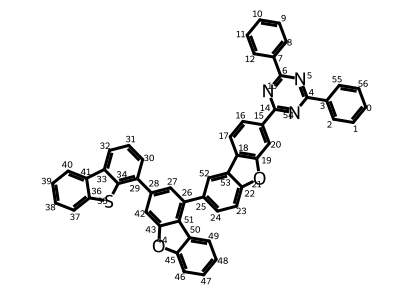 c1ccc(-c2nc(-c3ccccc3)nc(-c3ccc4c(c3)oc3ccc(-c5cc(-c6cccc7c6sc6ccccc67)cc6oc7ccccc7c56)cc34)n2)cc1